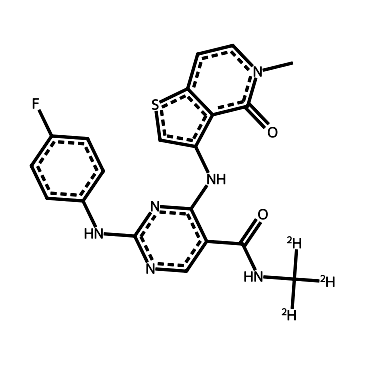 [2H]C([2H])([2H])NC(=O)c1cnc(Nc2ccc(F)cc2)nc1Nc1csc2ccn(C)c(=O)c12